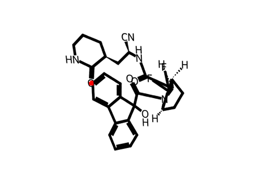 N#C[C@H](C[C@@H]1CCCNC1=O)NC(=O)[C@H]1[C@H]2CC[C@H](CC2(F)F)N1C(=O)C1(O)c2ccccc2-c2ccccc21